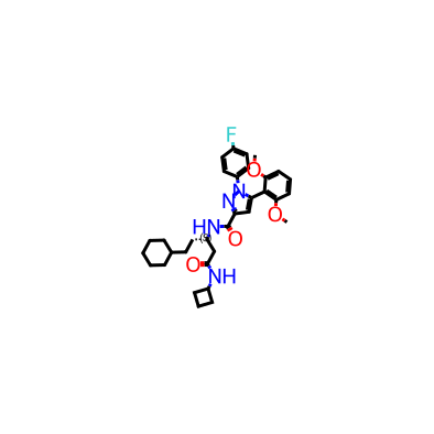 COc1cccc(OC)c1-c1cc(C(=O)N[C@@H](CCC2CCCCC2)CC(=O)NC2CCC2)nn1-c1ccc(F)cc1